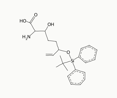 C=CC(CCC(O)C(N)C(=O)O)O[Si](c1ccccc1)(c1ccccc1)C(C)(C)C